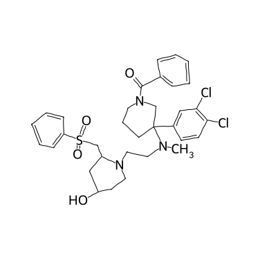 CN(CCN1CCC(O)CC1CS(=O)(=O)c1ccccc1)C1(c2ccc(Cl)c(Cl)c2)CCCN(C(=O)c2ccccc2)C1